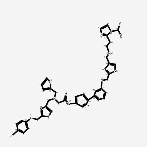 O=C(CN(Cc1csc(COc2ccc(F)cc2)n1)Cc1ccco1)Nc1ccc(-c2cccc(OCc3nc(CNCCc4nccn4C(F)F)cs3)c2)cc1